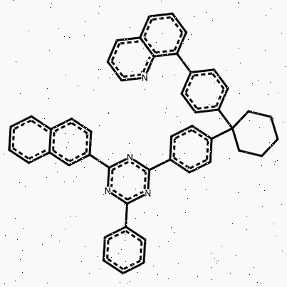 c1ccc(-c2nc(-c3ccc(C4(c5ccc(-c6cccc7cccnc67)cc5)CCCCC4)cc3)nc(-c3ccc4ccccc4c3)n2)cc1